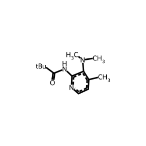 Cc1ccnc(NC(=O)C(C)(C)C)c1N(C)C